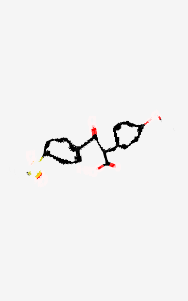 COc1ccc(C(C(=O)O)C(=O)c2ccc(S(C)(=O)=O)cc2)cc1